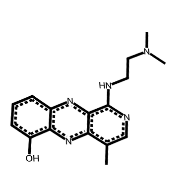 Cc1cnc(NCCN(C)C)c2nc3cccc(O)c3nc12